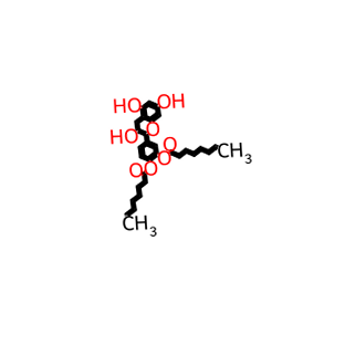 CCCCCCCC(=O)Oc1ccc(C2Oc3cc(O)cc(O)c3CC2O)cc1OC(=O)CCCCCCC